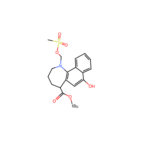 CC(C)(C)OC(=O)C1CCCN(COS(C)(=O)=O)c2c1cc(O)c1ccccc21